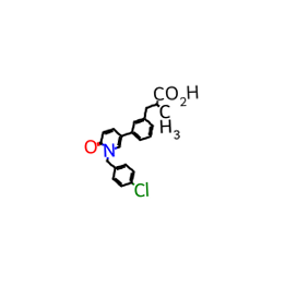 CC(Cc1cccc(-c2ccc(=O)n(Cc3ccc(Cl)cc3)c2)c1)C(=O)O